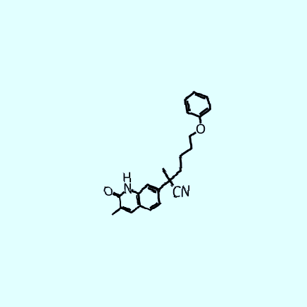 Cc1cc2ccc(C(C)(C#N)CCCCOc3ccccc3)cc2[nH]c1=O